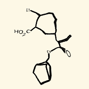 C=C(C(=O)OC1CC2CCC1C2)C1CCC(CC)C(C(=O)O)C1